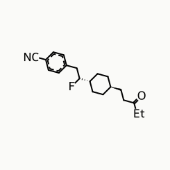 CCC(=O)CC[C@H]1CC[C@H](C(F)Cc2ccc(C#N)cc2)CC1